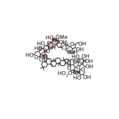 CC[C@H](C)[C@H](C[C@H](O)CC(=O)OC1CC(O)OC(OC(=O)[C@]23CCC(C)(C)CC2C2=CCC4[C@@]5(C)CC[C@H](OC6OC(C(=O)O)C(O)C(OC7OCC(O)C(O)C7O)C6OC6OC(CO)C(O)C(O)C6O)[C@@](C)(CNCC(=O)O)C5CC[C@@]4(C)[C@]2(C)C[C@H]3O)C1OC1OC(C)C(OC2OCC(O)C(OC)C2O)C(O)C1O)OC(=O)C[C@@H](O)C[C@H](OC1OC(CO)C(O)C1O)[C@@H](C)CC